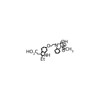 CCc1[nH]c2cc(OCCN(CCO)c3ccccc3NS(C)(=O)=O)ccc2c1CC(=O)O